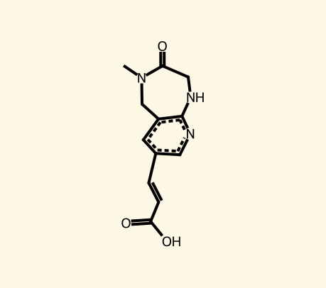 CN1Cc2cc(/C=C/C(=O)O)cnc2NCC1=O